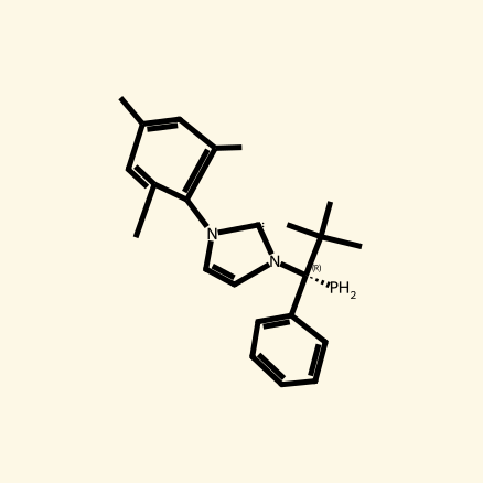 Cc1cc(C)c(N2[C]N([C@](P)(c3ccccc3)C(C)(C)C)C=C2)c(C)c1